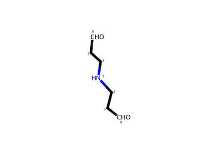 O=CCCNCCC=O